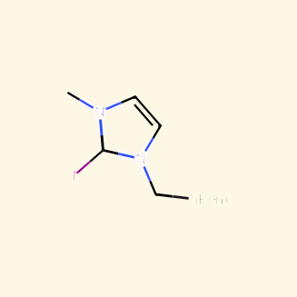 CCCCCCN1C=CN(C)C1I